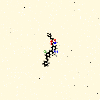 CCCCCS(=O)(=O)NC(=O)c1ccc2[nH]c(C)c(Cc3ccc(C=Cc4ccccc4)cc3Cl)c2c1